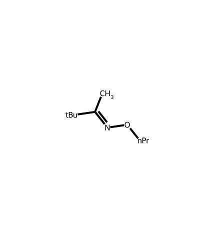 CCCO/N=C(\C)C(C)(C)C